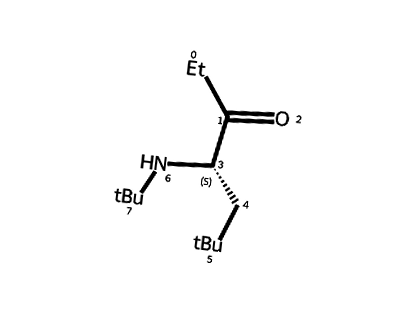 CCC(=O)[C@H](CC(C)(C)C)NC(C)(C)C